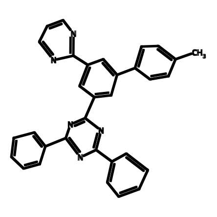 Cc1ccc(-c2cc(-c3ncccn3)cc(-c3nc(-c4ccccc4)nc(-c4ccccc4)n3)c2)cc1